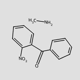 CN.O=C(c1ccccc1)c1ccccc1[N+](=O)[O-]